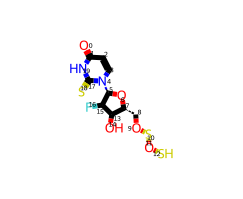 O=c1ccn([C@@H]2O[C@H](COSOS)C(O)C2F)c(=S)[nH]1